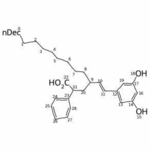 CCCCCCCCCCCCCCCCCCC(C=Cc1cc(O)cc(O)c1)CC(C(=O)O)c1ccccc1